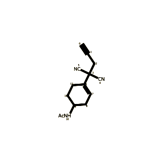 C#CCC(C#N)(C#N)C1=CCC(NC(C)=O)CC1